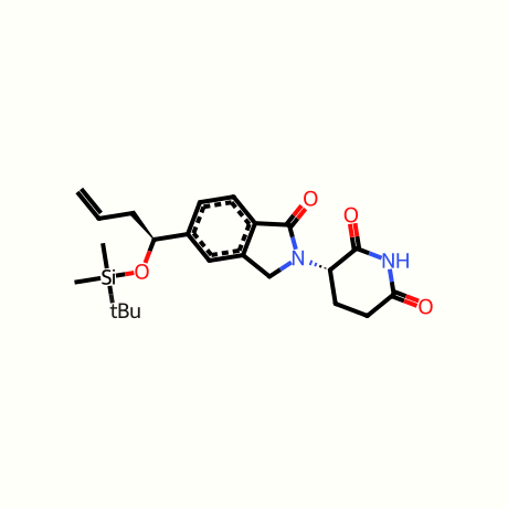 C=CC[C@H](O[Si](C)(C)C(C)(C)C)c1ccc2c(c1)CN([C@H]1CCC(=O)NC1=O)C2=O